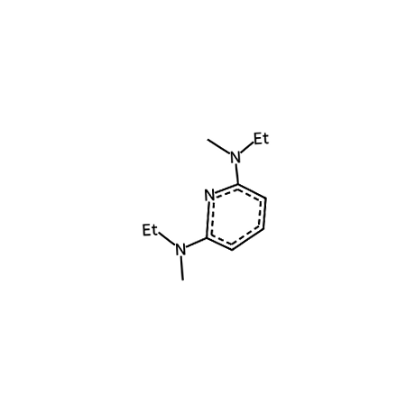 CCN(C)c1cccc(N(C)CC)n1